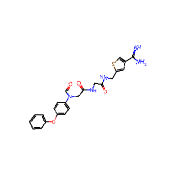 N=C(N)c1csc(CNC(=O)CNC(=O)CN(C=O)c2ccc(Oc3ccccc3)cc2)c1